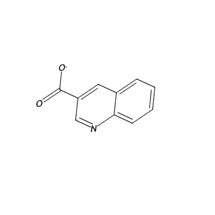 [O]C(=O)c1cnc2ccccc2c1